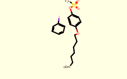 CCCCCCCCCCCCCCCCOc1ccc(OS(=O)(=O)C(F)(F)F)cc1.Ic1ccccc1